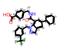 C[C@H](NC(=O)c1cc(-c2ccccc2)cc2cnn(Cc3cccc(C(F)(F)F)c3)c12)c1ccc(C(=O)O)cc1